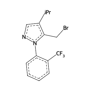 CC(C)c1cnn(-c2ccccc2C(F)(F)F)c1CBr